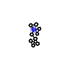 c1ccc(-c2ccccc2-c2nc(-c3cccc(-c4ccc5c(c4)C4(c6ccccc6-c6ccccc64)c4ccccc4-5)c3)nc(-c3ccccc3-c3ccccc3)n2)cc1